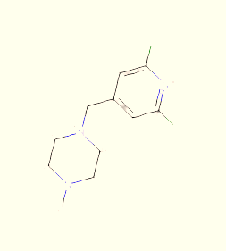 O=C(O)N1CCN(Cc2cc(Cl)nc(Cl)c2)CC1